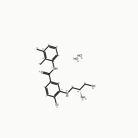 CCc1ccc(C(=O)Nc2cccc(C)c2C)cc1NC[C@@H](N)CS.Cl.Cl